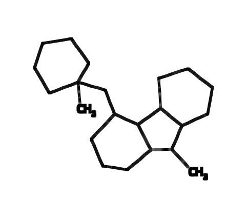 CC1C2CCCCC2C2C(CC3(C)CCCCC3)CCCC12